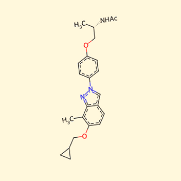 CC(=O)N[C@@H](C)COc1ccc(-n2cc3ccc(OCC4CC4)c(C)c3n2)cc1